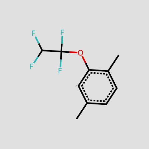 Cc1[c]c(OC(F)(F)C(F)F)c(C)cc1